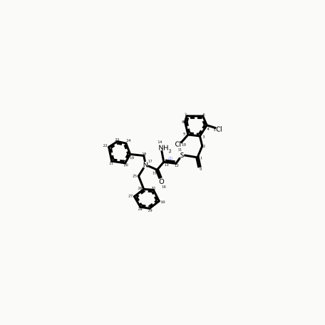 C=C(Cc1c(Cl)cccc1Cl)S/C=C(\N)C(=O)N(Cc1ccccc1)Cc1ccccc1